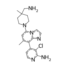 Cc1cc(N2CCC(C)(CN)CC2)n2ccnc2c1-c1ccnc(N)c1Cl